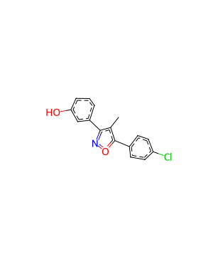 Cc1c(-c2cccc(O)c2)noc1-c1ccc(Cl)cc1